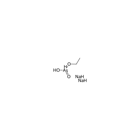 CCO[AsH](=O)O.[NaH].[NaH]